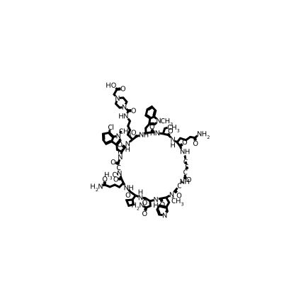 CCC1NC(=O)C(Cc2cn(C)c3ccccc23)NC(=O)C(CCCCNC(=O)N2CCN(CC(=O)O)CC2)NC(=O)C(Cc2cn(C)c3c(Cl)cccc23)NC(=O)CN(C)C(=O)C(CCCC(N)=O)NC(=O)C(C2CCC2)NC(=O)C(CC(N)=O)NC(=O)C(Cc2cccnc2)N(C)C(=O)CNC(=O)CSCCNC(=O)C(CCCC(N)=O)NC1=O